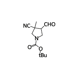 CC(C)(C)OC(=O)N1CC(C=O)C(C)(C#N)C1